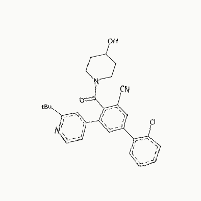 CC(C)(C)c1cc(-c2cc(-c3ccccc3Cl)cc(C#N)c2C(=O)N2CCC(O)CC2)ccn1